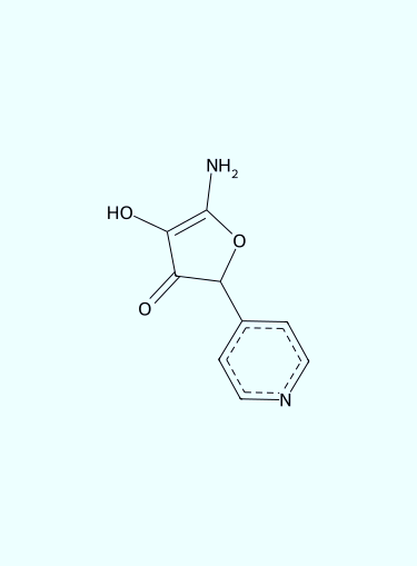 NC1=C(O)C(=O)C(c2ccncc2)O1